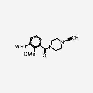 C#CN1CCN(C(=O)c2cccc(OC)c2OC)CC1